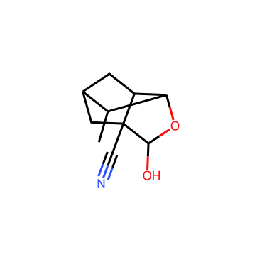 CC1C2CC3C1OC(O)C3(C#N)C2